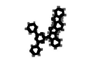 c1ccc(-c2cc(-c3ccccc3)nc(-n3c4ccccc4c4c5ccc6c7ccccc7oc6c5oc43)n2)cc1